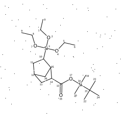 CCO[Si](OCC)(OCC)C1CC2CC(C(=O)O[Si](C)(C)C(C)(C)C)C1C2